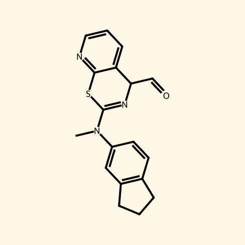 CN(C1=NC(C=O)c2cccnc2S1)c1ccc2c(c1)CCC2